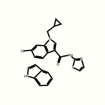 O=C(Nc1nccs1)c1cn(CC2CC2)c2cc(Cl)ccc12.c1ccc2[nH]ccc2c1